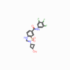 O=C(Nc1cc(F)c(F)c(F)c1)c1ccc2c(c1)S(=O)(=O)N([C@H]1C[C@@H](O)C1)CN2